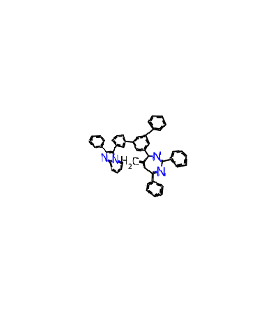 C=C1CC(c2ccccc2)=NC(c2ccccc2)=NC1c1cc(-c2ccccc2)cc(-c2cccc(-c3c(-c4ccccc4)nc4ccccn34)c2)c1